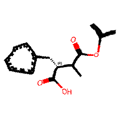 C=C(C)OC(=O)C(C)[C@@H](Cc1ccccc1)C(=O)O